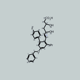 CC(C)c1cc(OCc2ccncc2)cc(-c2ccc(F)cc2)c1/C=C/C(O)CC(O)CC(=O)O